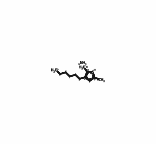 CCCCCCc1cc(C)sc1C.N